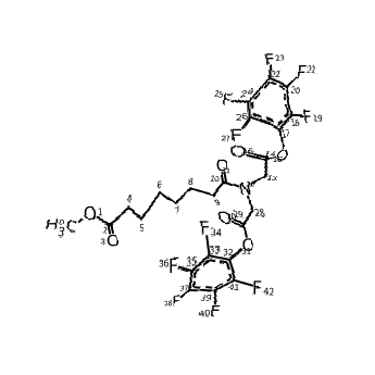 COC(=O)CCCCCCC(=O)N(CC(=O)Oc1c(F)c(F)c(F)c(F)c1F)CC(=O)Oc1c(F)c(F)c(F)c(F)c1F